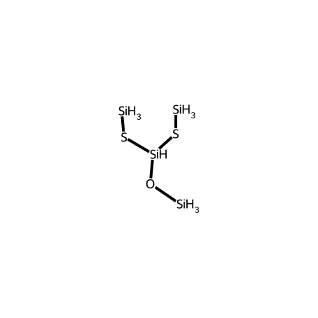 [SiH3]O[SiH](S[SiH3])S[SiH3]